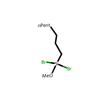 CCCCCCCC[Si](Br)(Br)OC